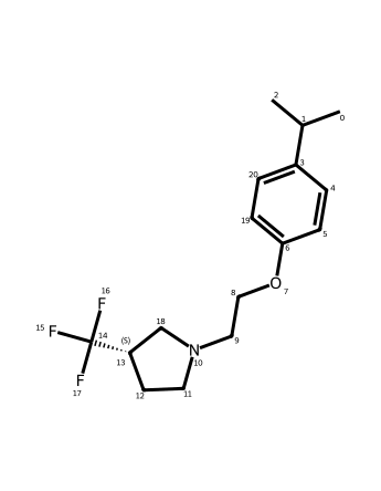 CC(C)c1ccc(OCCN2CC[C@H](C(F)(F)F)C2)cc1